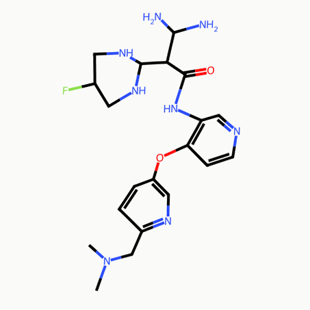 CN(C)Cc1ccc(Oc2ccncc2NC(=O)C(C(N)N)C2NCC(F)CN2)cn1